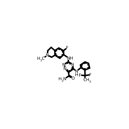 CN1CCc2cc(F)c(Nc3nnc(C(N)=O)c(Nc4ccccc4C(C)(F)F)n3)cc2C1